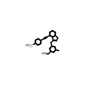 Cc1cc(CO)cc(CC2=CCc3cccc(C#Cc4ccc(C(=O)O)cc4)c32)c1